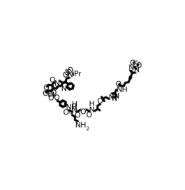 CC[C@@]1(OC(=O)OCc2ccc(NC(=O)[C@H](CCCCN)NC(=O)COCC(=O)NCC(C)CCOC(C)(C)CCn3cc(CNC(=O)CCCC#Cc4cnc(S(C)(=O)=O)nc4)nn3)cc2)C(=O)OCc2c1cc1n(c2=O)Cc2c-1nc1ccccc1c2CCN(C(C)C)S(C)(=O)=O